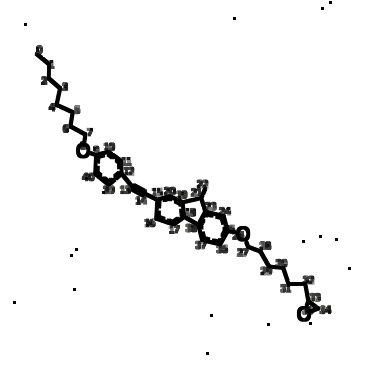 CCCCCCCCOc1ccc(C#Cc2ccc3c(c2)C(C)c2cc(OCCCCCCC4CO4)ccc2-3)cc1